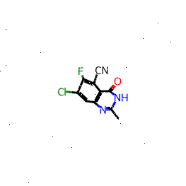 Cc1nc2cc(Cl)c(F)c(C#N)c2c(=O)[nH]1